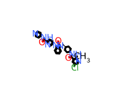 Cc1ncc(Cl)cc1C(=O)N[C@H]1CC[C@H](Cn2c(=O)n(-c3ccc(C(=O)Nc4ccncc4)nc3)c3ccccc32)CC1